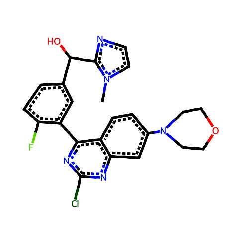 Cn1ccnc1C(O)c1ccc(F)c(-c2nc(Cl)nc3cc(N4CCOCC4)ccc23)c1